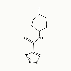 CC1CCC(NC(=O)c2csnn2)CC1